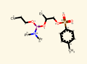 [C-]#[N+]CCOP(OC(CC)COS(=O)(=O)c1ccc(C)cc1)N(C(C)C)C(C)C